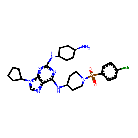 N[C@H]1CC[C@H](Nc2nc(NC3CCN(S(=O)(=O)c4ccc(Br)cc4)CC3)c3ncn(C4CCCC4)c3n2)CC1